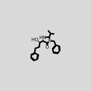 CC(C)C1N[C@@H]([C@H](O)[CH]Cc2ccccc2)C(=O)N1Cc1ccccc1